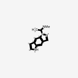 CNC(C)n1ncc2cc3[nH]ccc3cc21